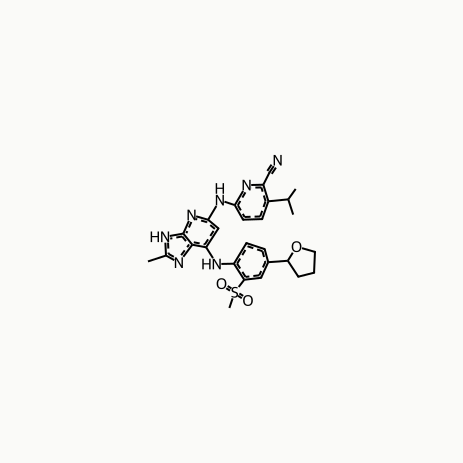 Cc1nc2c(Nc3ccc(C4CCCO4)cc3S(C)(=O)=O)cc(Nc3ccc(C(C)C)c(C#N)n3)nc2[nH]1